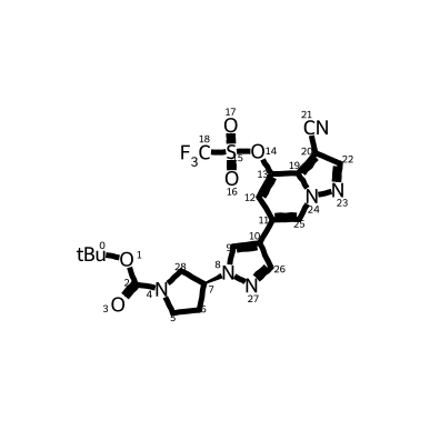 CC(C)(C)OC(=O)N1CC[C@H](n2cc(-c3cc(OS(=O)(=O)C(F)(F)F)c4c(C#N)cnn4c3)cn2)C1